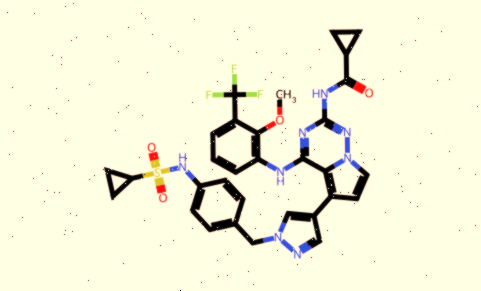 COc1c(Nc2nc(NC(=O)C3CC3)nn3ccc(-c4cnn(Cc5ccc(NS(=O)(=O)C6CC6)cc5)c4)c23)cccc1C(F)(F)F